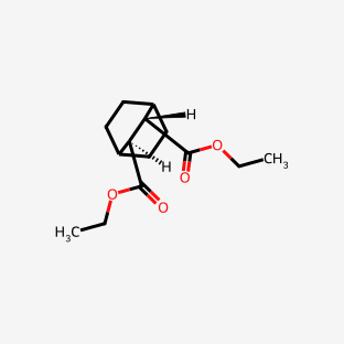 CCOC(=O)[C@H]1C2CCC(CC2)[C@@H]1C(=O)OCC